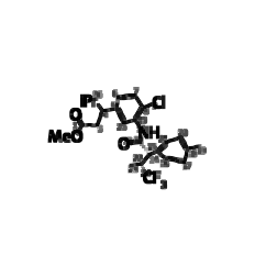 COC(=O)CC(c1ccc(Cl)c(NC(=O)[C@H](c2ccc(C)cc2)[C@@H](C)C(F)(F)F)c1)C(C)C